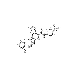 CC1(C)Cc2c(c(C(=O)Nc3ccc(C(F)(F)F)cc3)cc3nc(Nc4c(Cl)cccc4Cl)[nH]c23)O1